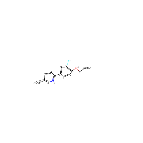 CCCCCCCCCCCOc1ccc(-c2ccc(CCCCCCCC)cn2)cc1F